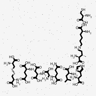 CC(C)C[C@H](N)C(=O)O.CC[C@H](C)[C@H](N)C(=O)O.NC(=O)CC[C@H](N)C(=O)O.NCC(=O)O.NCCCC[C@H](N)C(=O)O.N[C@@H](CC(=O)O)C(=O)O.N[C@@H](CCC(=O)O)C(=O)O.N[C@@H](CS)C(=O)O.N[C@@H](CSSC[C@H](N)C(=O)O)C(=O)O.N[C@@H](Cc1c[nH]cn1)C(=O)O